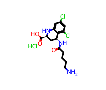 Cl.NCCCCC(=O)N[C@@H]1C[C@@H](C(=O)O)Nc2cc(Cl)cc(Cl)c21